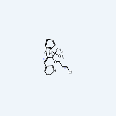 CC(C)(C)C(OC/C=C/Cl)/C(=C\c1cccnc1)Oc1ccccc1